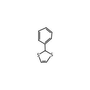 C1=CS[C](c2ccccc2)S1